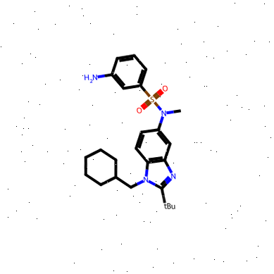 CN(c1ccc2c(c1)nc(C(C)(C)C)n2CC1CCCCC1)S(=O)(=O)c1cccc(N)c1